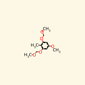 COCOc1cc(OC)cc(OCOC)c1C